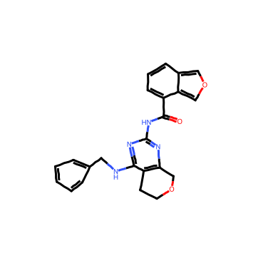 O=C(Nc1nc2c(c(NCc3ccccc3)n1)CCOC2)c1cccc2cocc12